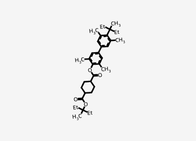 CCC(C)(CC)OC(=O)C1CCC(C(=O)Oc2c(C)cc(-c3cc(C)c(C(C)(CC)CC)c(C)c3)cc2C)CC1